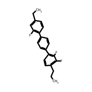 CCCc1ccc(-c2ccc(-c3ccc(CC)cc3F)cc2)c(F)c1F